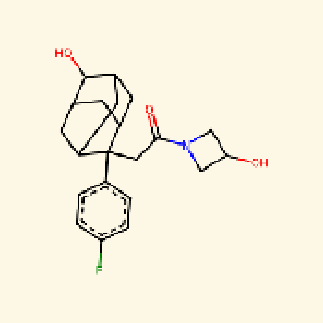 O=C(CC1(c2ccc(F)cc2)C2CC3CC1CC(C2)C3O)N1CC(O)C1